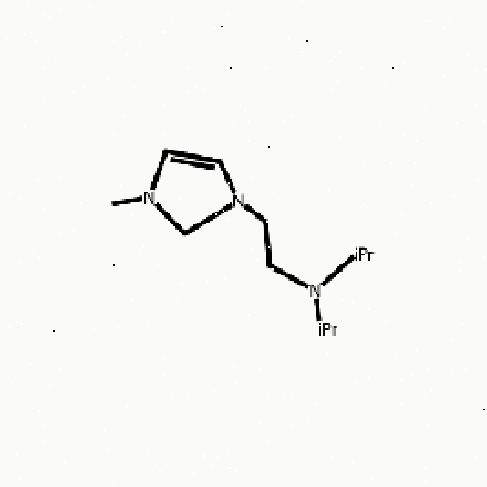 CC(C)N(CCN1C=CN(C)C1)C(C)C